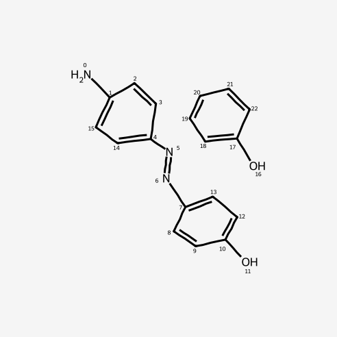 Nc1ccc(N=Nc2ccc(O)cc2)cc1.Oc1ccccc1